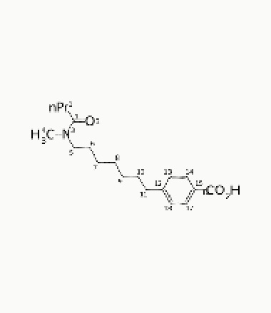 CCCC(=O)N(C)CCCCCCCc1ccc(C(=O)O)cc1